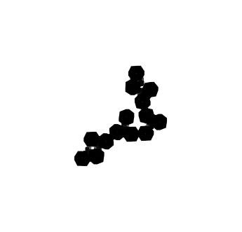 c1ccc(-n2c3ccc(-c4ccc5c(c4)c4ccccc4n5-c4cccc5c4sc4ccccc45)cc3c3ccc(-c4cccc(-n5c6ccccc6c6cc(-c7ccc8c(c7)c7ccccc7n8-c7cccc8c7sc7ccccc78)ccc65)c4)cc32)cc1